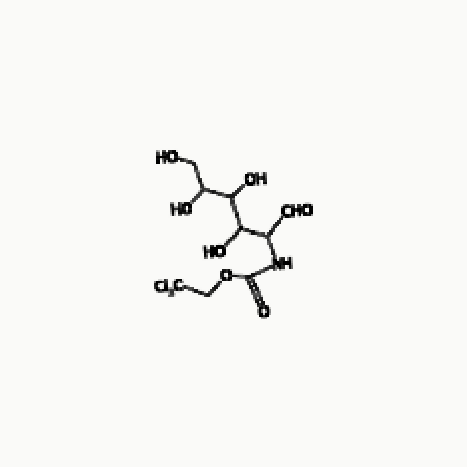 O=CC(NC(=O)OCC(Cl)(Cl)Cl)C(O)C(O)C(O)CO